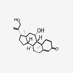 C=C(CO)[C@H]1CC[C@H]2[C@@H]3CCC4=CC(=O)CC[C@]4(C)[C@H]3[C@@H](O)C[C@]12C